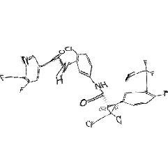 O=C(Nc1cc(NC(=O)[C@@H]2[C@@H](c3ccc(F)c(C(F)(F)F)c3)C2(Cl)Cl)ccc1Cl)c1cnc(F)c(F)c1